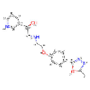 Cc1nnc(-c2ccc(OCCNC[C@H](O)c3cccnc3)cc2)o1